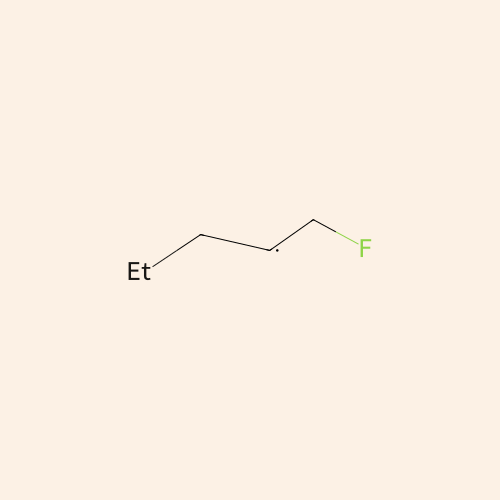 [CH2]CC[CH]CF